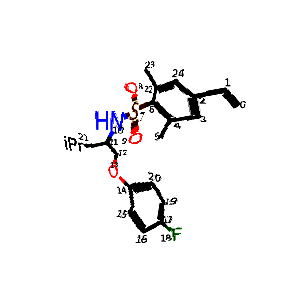 C=Cc1cc(C)c(S(=O)(=O)NC(COc2ccc(F)cc2)C(C)C)c(C)c1